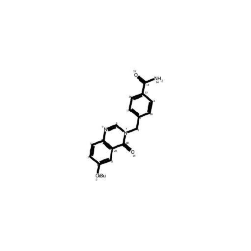 CC(C)COc1ccc2ncn(Cc3ccc(C(N)=O)cc3)c(=O)c2c1